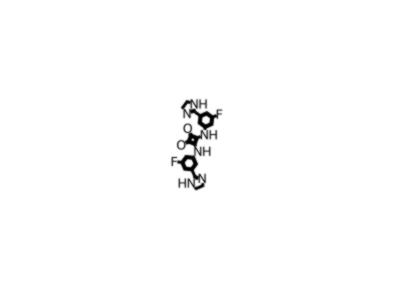 O=c1c(Nc2cc(F)cc(C3=NCCN3)c2)c(Nc2cc(F)cc(C3=NCCN3)c2)c1=O